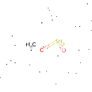 C.O=[SH2]=O